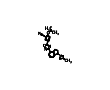 CC1CN(C2CCc3c(-c4noc(-c5ccc(OC(C)C)c(C#N)c5)n4)cccc32)C1